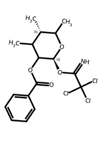 CC1O[C@@H](OC(=N)C(Cl)(Cl)Cl)C(OC(=O)c2ccccc2)C(C)[C@@H]1C